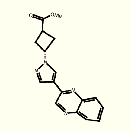 COC(=O)[C@H]1C[C@H](n2cc(-c3cnc4ccccc4n3)cn2)C1